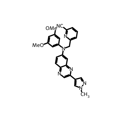 COc1cc(OC)cc(N(Cc2cccc(C#N)n2)c2ccc3ncc(-c4cnn(C)c4)nc3c2)c1